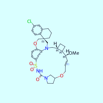 CO[C@H]1/C=C/COC2CCN(C2)C(=O)NS(=O)(=O)c2ccc3c(c2)N(C[C@@H]2CC[C@H]21)C[C@@]1(CCCc2cc(Cl)ccc21)CO3